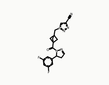 N#Cc1cn(CC23CC(C(=O)N4N=CCC4c4cc(F)cc(F)c4)(C2)C3)nn1